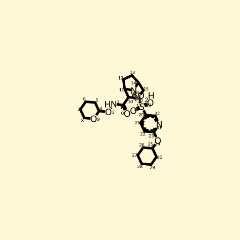 O=C(NOC1CCCCO1)C1C2CCC(CN1S(=O)(=O)c1ccc(OC3CCCCC3)nc1)N2C(=O)O